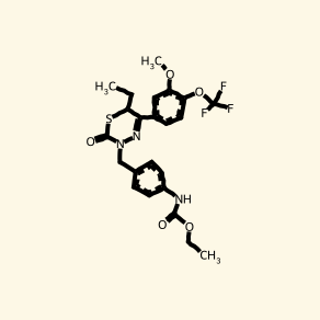 CCOC(=O)Nc1ccc(CN2N=C(c3ccc(OC(F)(F)F)c(OC)c3)C(CC)SC2=O)cc1